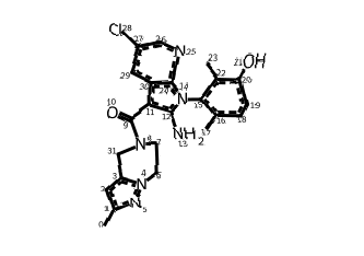 Cc1cc2n(n1)CCN(C(=O)c1c(N)n(-c3c(C)ccc(O)c3C)c3ncc(Cl)cc13)C2